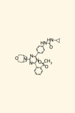 CS(=O)(=O)c1ccccc1-c1nc(-c2ccc(NC(=O)NC3CC3)cc2)nc(N2C3CCC2COC3)n1